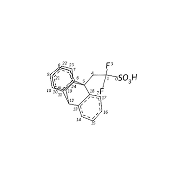 O=S(=O)(O)C(F)(F)CC12c3ccccc3C(c3ccccc31)c1ccccc12